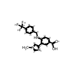 Cn1cnc(-c2cc(C(=O)O)ccc2NCc2ccc(C(F)(F)F)cc2)c1